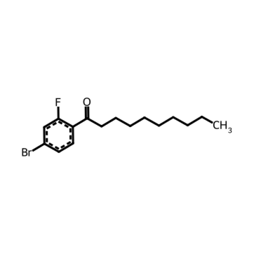 CCCCCCCCCC(=O)c1ccc(Br)cc1F